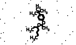 CCCCC(CC)OC(C)OC1=CCC(C(C)(C)C)C=C1